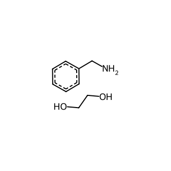 NCc1ccccc1.OCCO